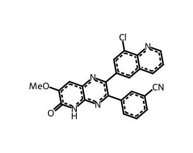 COc1cc2nc(-c3cc(Cl)c4ncccc4c3)c(-c3cccc(C#N)c3)nc2[nH]c1=O